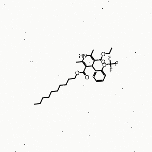 CCCCCCCCCCOC(=O)C1=C(C)NC(C)=C(C(=O)OCC)C1c1ccccc1OC(F)(F)F